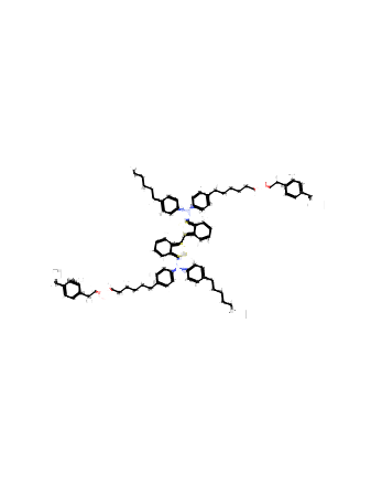 C=Cc1ccc(CCOCCCCCCc2ccc(N(c3ccc(CCCCCC)cc3)c3sc(-c4sc(N(c5ccc(CCCCCC)cc5)c5ccc(CCCCCCOCCc6ccc(C=C)cc6)cc5)c5ccccc45)c4ccccc34)cc2)cc1